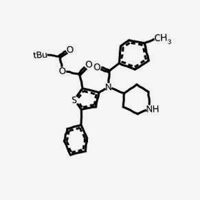 Cc1ccc(C(=O)N(c2cc(-c3ccccc3)sc2C(=O)OC(=O)C(C)(C)C)C2CCNCC2)cc1